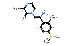 C=C1C(NC)=NC=CN1/C=C(\N)c1ccc([S+](C)[O-])cc1OC